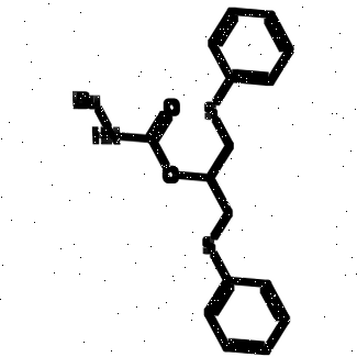 CCC(C)NC(=O)OC(CSc1ccccc1)CSc1ccccc1